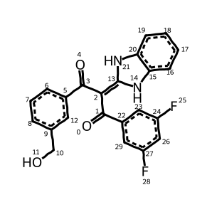 O=C(C(C(=O)c1cccc(CO)c1)=C1Nc2ccccc2N1)c1cc(F)cc(F)c1